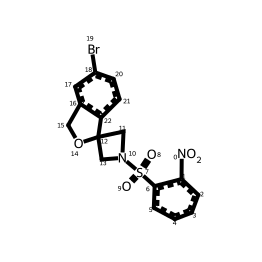 O=[N+]([O-])c1ccccc1S(=O)(=O)N1CC2(C1)OCc1cc(Br)ccc12